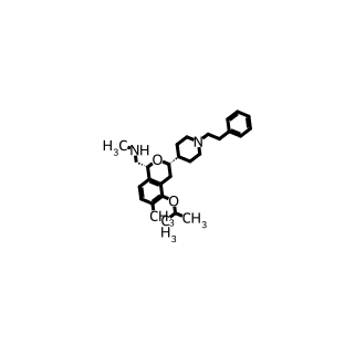 CNC[C@@H]1O[C@H](C2CCN(CCc3ccccc3)CC2)Cc2c1ccc(C)c2OC(C)C